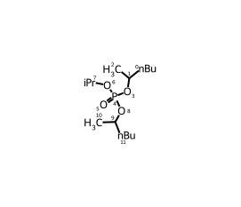 CCCCC(C)OP(=O)(OC(C)C)OC(C)CCCC